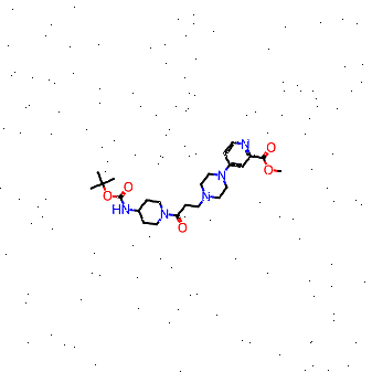 COC(=O)c1cc(N2CCN(CCC(=O)N3CCC(NC(=O)OC(C)(C)C)CC3)CC2)ccn1